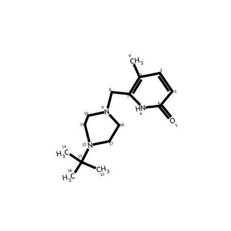 Cc1ccc(=O)[nH]c1CN1CCN(C(C)(C)C)CC1